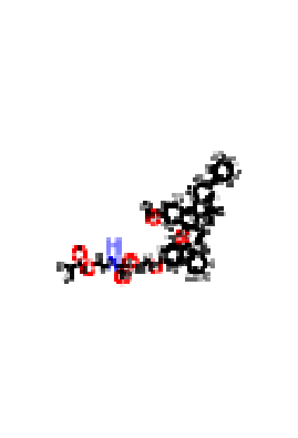 C=C(C)C(=O)OCCNC(=O)OCCOc1ccc(C2(c3ccccc3)C=Cc3c4c(c5ccc(OC)cc5c3O2)-c2ccc(-c3ccccc3)cc2C4(C)C)cc1